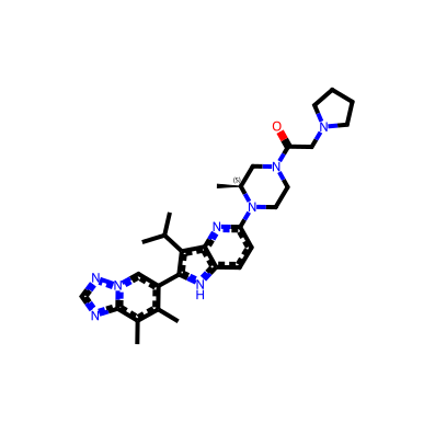 Cc1c(-c2[nH]c3ccc(N4CCN(C(=O)CN5CCCC5)C[C@@H]4C)nc3c2C(C)C)cn2ncnc2c1C